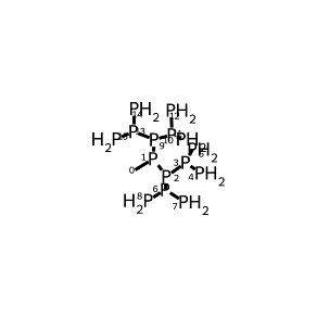 CP(P(P(P)P)P(P)P)P(P(P)P)P(P)P